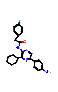 Nc1ccc(-c2cnc(NC(=O)Cc3ccc(F)cc3)c(C3CCCCC3)n2)cc1